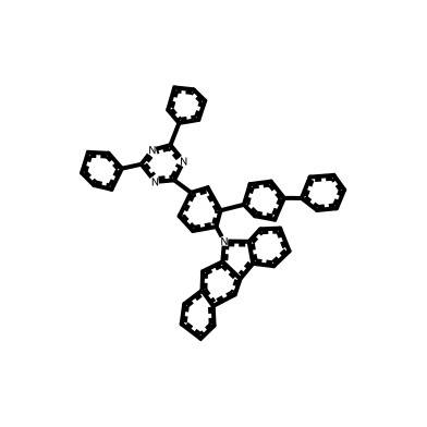 c1ccc(-c2ccc(-c3cc(-c4nc(-c5ccccc5)nc(-c5ccccc5)n4)ccc3-n3c4ccccc4c4cc5ccccc5cc43)cc2)cc1